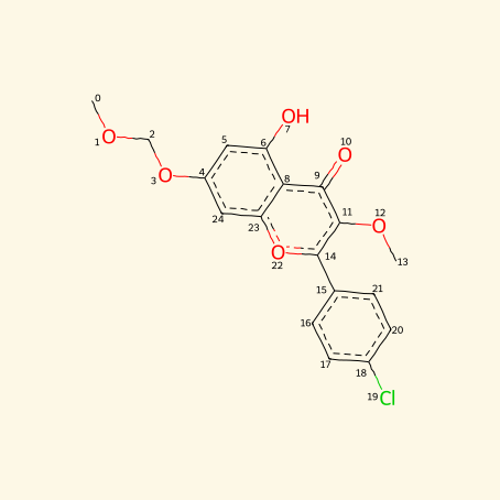 COCOc1cc(O)c2c(=O)c(OC)c(-c3ccc(Cl)cc3)oc2c1